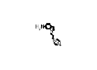 CN1CCN(CCCn2ccc3ccc(N)cc32)CC1